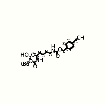 C#Cc1ccc(COC(=O)NCCCCC(NC(=O)OC(C)(C)C)C(=O)O)cc1